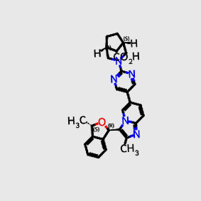 Cc1nc2ccc(-c3cnc(N4C[C@H]5CC[C@@H](C4)C5C(=O)O)nc3)cn2c1[C@@H]1O[C@@H](C)c2ccccc21